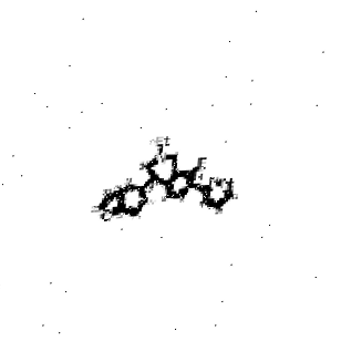 CCN1Cc2c(ccc(-c3cccnn3)c2F)C(c2ccc3occc3c2)C1